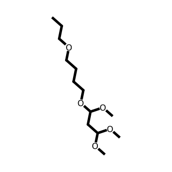 CCCOCCCCOC(CC(OC)OC)OC